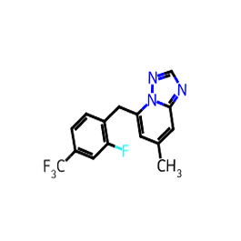 Cc1cc(Cc2ccc(C(F)(F)F)cc2F)n2ncnc2c1